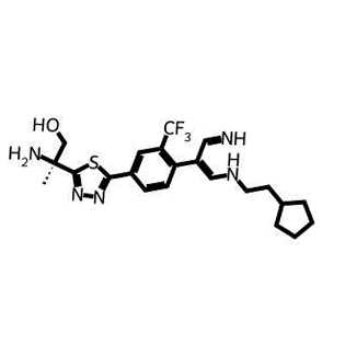 C[C@](N)(CO)c1nnc(-c2ccc(/C(C=N)=C/NCCC3CCCC3)c(C(F)(F)F)c2)s1